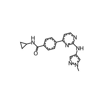 Cn1cc(Nc2nccc(-c3ccc(C(=O)NC4CC4)cc3)n2)cn1